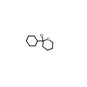 [O]C1(C2CCCCC2)CCCCO1